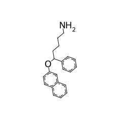 NCCCCC(Oc1ccc2ccccc2c1)c1ccccc1